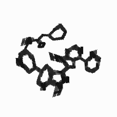 O=C(CC1CCCCC1)Nc1cncc(-c2cnc3[nH]nc(-c4cc5c(-c6ccccn6)nccc5[nH]4)c3c2)c1